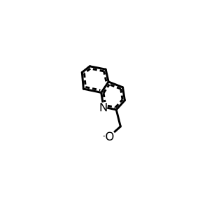 [O]Cc1ccc2ccccc2n1